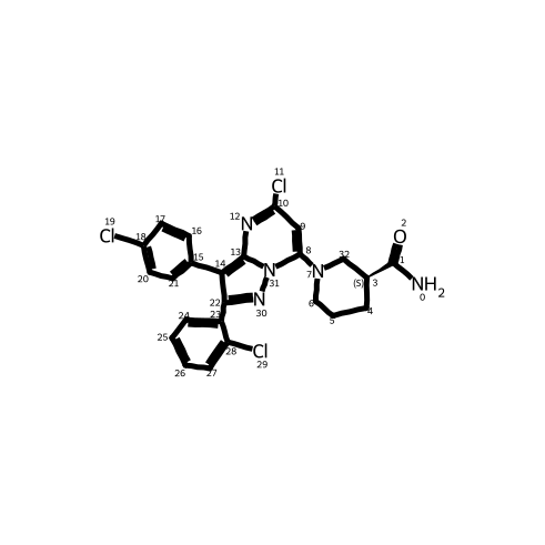 NC(=O)[C@H]1CCCN(c2cc(Cl)nc3c(-c4ccc(Cl)cc4)c(-c4ccccc4Cl)nn23)C1